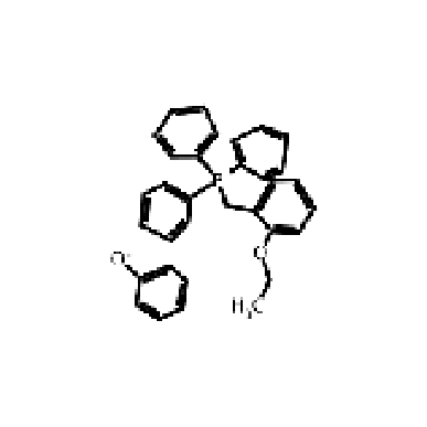 CCOc1ccccc1C[P+](c1ccccc1)(c1ccccc1)c1ccccc1.[O-]c1ccccc1